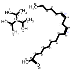 CC(O)N(C(C)O)C(C)O.CCCCC/C=C\C/C=C\CCCCCCCC(=O)O